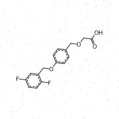 O=C(O)COCc1ccc(OCc2cc(F)ccc2F)cc1